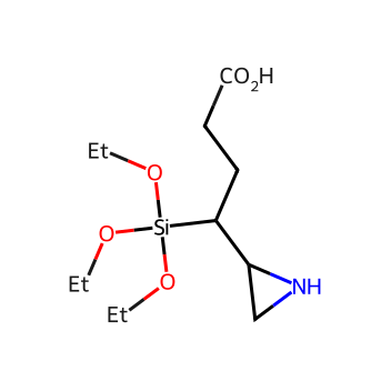 CCO[Si](OCC)(OCC)C(CCC(=O)O)C1CN1